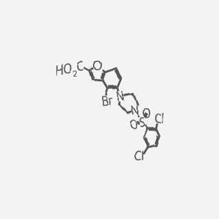 O=C(O)c1cc2c(Br)c(N3CCN(S(=O)(=O)c4cc(Cl)ccc4Cl)CC3)ccc2o1